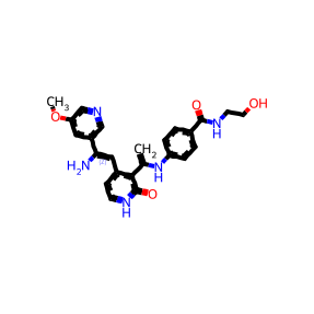 C=C(Nc1ccc(C(=O)NCCO)cc1)c1c(/C=C(\N)c2cncc(OC)c2)cc[nH]c1=O